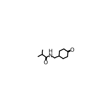 CC(C)C(=O)NCC1CCC(=O)CC1